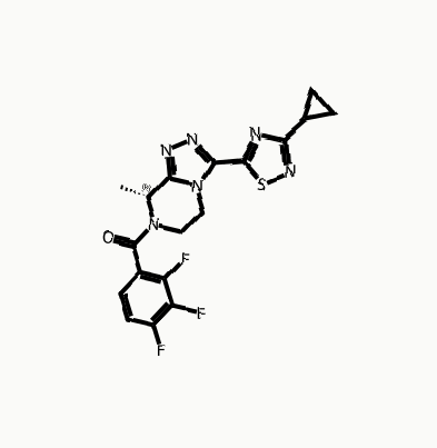 C[C@@H]1c2nnc(-c3nc(C4CC4)ns3)n2CCN1C(=O)c1ccc(F)c(F)c1F